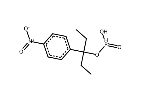 CCC(CC)(O[PH](=O)O)c1ccc([N+](=O)[O-])cc1